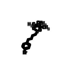 CC1(C)OB(CCCCc2ccc(Br)cc2)OC1(C)C